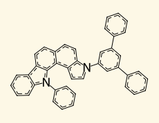 c1ccc(-c2cc(-c3ccccc3)cc(-n3ccc4c5c(ccc6c7ccccc7n(-c7ccccc7)c65)ccc43)c2)cc1